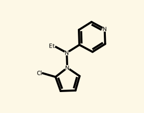 CCN(c1ccncc1)n1cccc1Cl